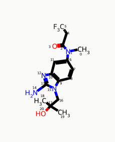 CN(C(=O)CC(F)(F)F)c1ccc2c(c1)nc(N)n2CC(C)(C)O